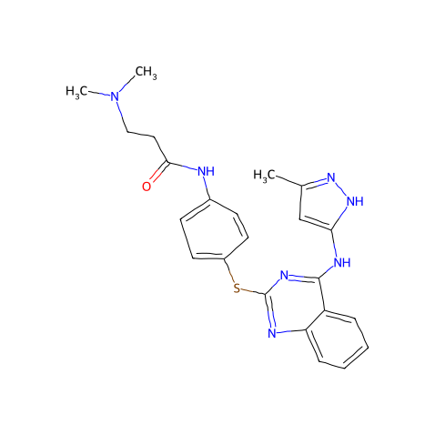 Cc1cc(Nc2nc(Sc3ccc(NC(=O)CCN(C)C)cc3)nc3ccccc23)[nH]n1